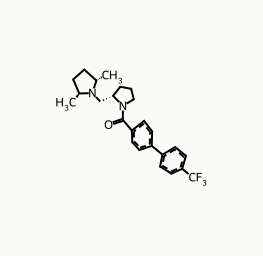 C[C@H]1CC[C@H](C)N1C[C@@H]1CCCN1C(=O)c1ccc(-c2ccc(C(F)(F)F)cc2)cc1